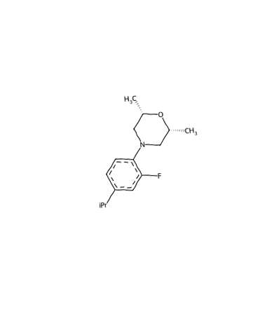 CC(C)c1ccc(N2C[C@@H](C)O[C@@H](C)C2)c(F)c1